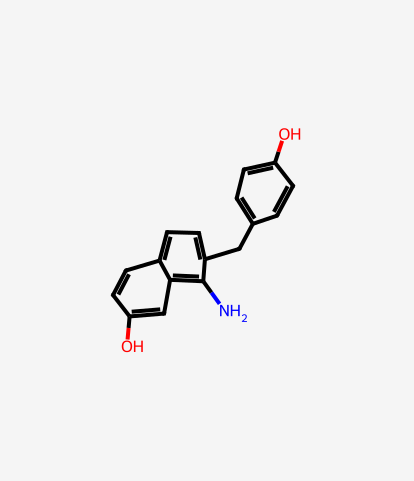 Nc1c(Cc2ccc(O)cc2)ccc2ccc(O)cc12